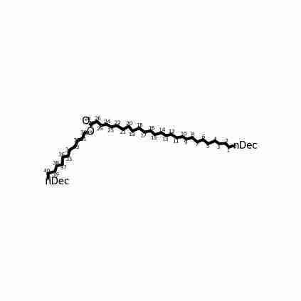 CCCCCCCCCCCCCCCCCCCCCCCCCCCCCCCCCCCCC(=O)OCCCCCCCCCCCCCCCCCCCCC